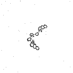 c1cc(-c2cccc(-c3cccc(-c4ccc5cc6ccccc6cc5n4)c3)n2)cc(-c2ccc3cc4ccccc4cc3n2)c1